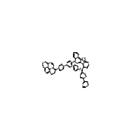 c1ccc(-c2ccc(N(c3ccccc3)c3cccc4oc5c6ccccc6c(-c6ccc(-c7ccc(-c8ccc9ccc%10cccc%11ccc8c9c%10%11)cc7)cc6)cc5c34)cc2)cc1